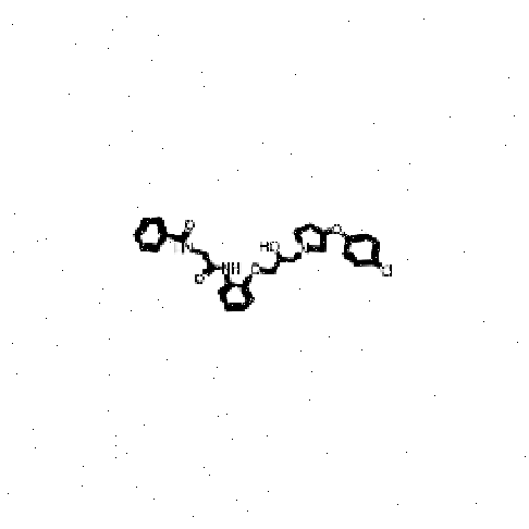 O=C(CNC(=O)c1ccccc1)Nc1ccccc1OCC(O)CN1CCC(Oc2ccc(Cl)cc2)C1